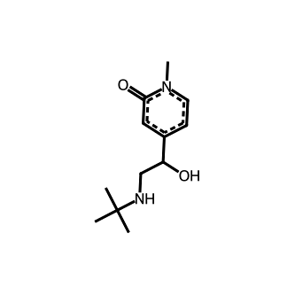 Cn1ccc(C(O)CNC(C)(C)C)cc1=O